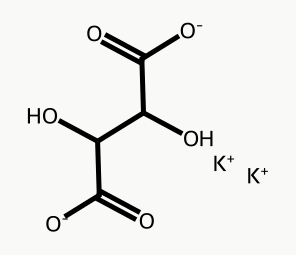 O=C([O-])C(O)C(O)C(=O)[O-].[K+].[K+]